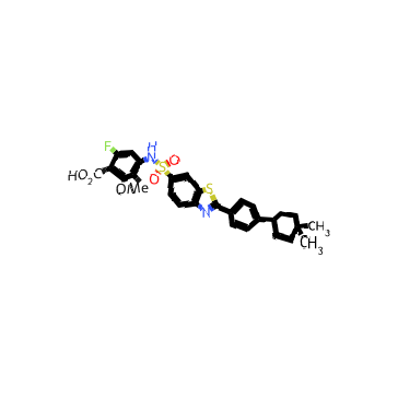 COc1cc(C(=O)O)c(F)cc1NS(=O)(=O)c1ccc2nc(-c3ccc(C4CCC(C)(C)CC4)cc3)sc2c1